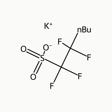 CCCCC(F)(F)C(F)(F)S(=O)(=O)[O-].[K+]